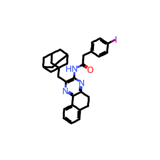 O=C(Cc1ccc(I)cc1)Nc1nc2c(nc1CC13CC4CC(CC(C4)C1)C3)-c1ccccc1CC2